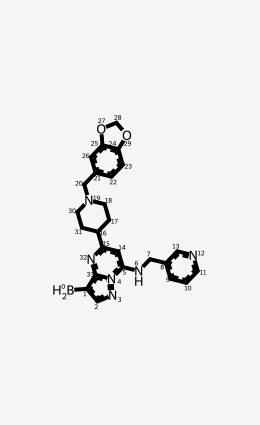 Bc1cnn2c(NCc3cccnc3)cc(C3CCN(Cc4ccc5c(c4)OCO5)CC3)nc12